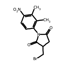 Cc1c(N2C(=O)CC(CBr)C2=O)ccc([N+](=O)[O-])c1C